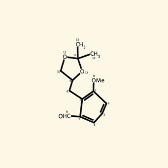 COc1cccc(C=O)c1CC1COC(C)(C)O1